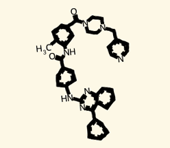 Cc1ccc(C(=O)N2CCN(Cc3ccncc3)CC2)cc1NC(=O)c1ccc(Nc2nc(-c3ccccc3)c3ccccc3n2)cc1